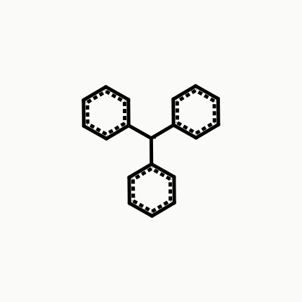 c1ccc([C](c2ccccc2)c2ccccc2)cc1